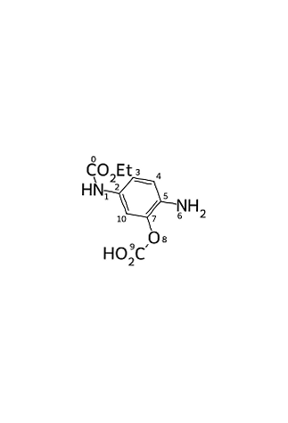 CCOC(=O)Nc1ccc(N)c(OC(=O)O)c1